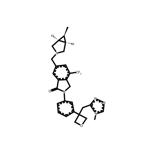 C[C@H]1[C@H]2CN(Cc3cc4c(c(C(F)(F)F)c3)CN(c3cccc(C5(Cc6nncn6C)COC5)c3)C4=O)C[C@@H]12